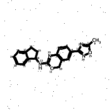 Cc1nc(-c2ccc3c(c2)COC(NC2CCc4ccccc42)=N3)no1